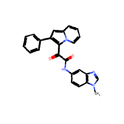 Cn1cnc2cc(NC(=O)C(=O)c3c(-c4ccccc4)cc4ccccn34)ccc21